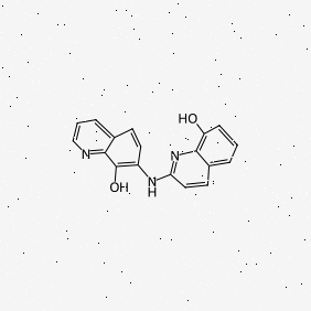 Oc1cccc2ccc(Nc3ccc4cccnc4c3O)nc12